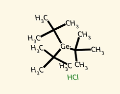 C[C](C)(C)[Ge]([C](C)(C)C)[C](C)(C)C.Cl